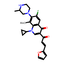 COc1c(N2CCNC(C)C2)c(F)cc2c(=O)c(C(=O)C=Cc3ccco3)cn(C3CC3)c12